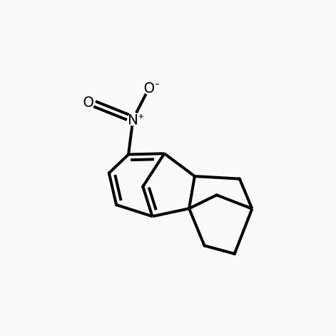 O=[N+]([O-])c1ccc2cc1C1CC3CCC21C3